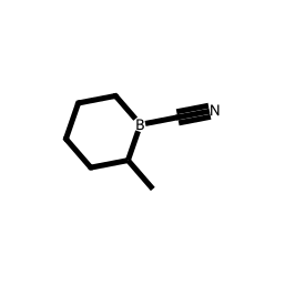 CC1CCCCB1C#N